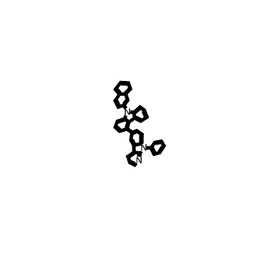 c1ccc(-n2c3ccc(-c4cccc5c4c4ccccc4n5-c4ccc5ccccc5c4)cc3c3cccnc32)cc1